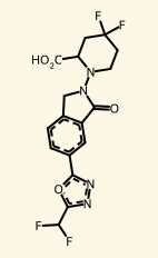 O=C(O)C1CC(F)(F)CCN1N1Cc2ccc(-c3nnc(C(F)F)o3)cc2C1=O